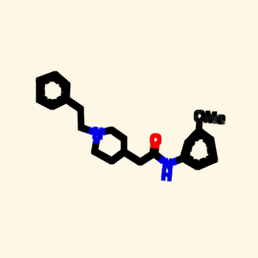 COc1cccc(NC(=O)CC2CCN(CCc3ccccc3)CC2)c1